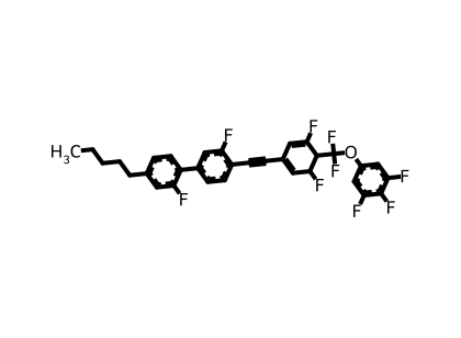 CCCCCc1ccc(-c2ccc(C#CC3=CC(F)C(C(F)(F)Oc4cc(F)c(F)c(F)c4)C(F)=C3)c(F)c2)c(F)c1